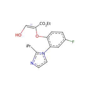 CCOC(=O)/C(=C/O)Oc1ccc(F)cc1-n1ccnc1C(C)C